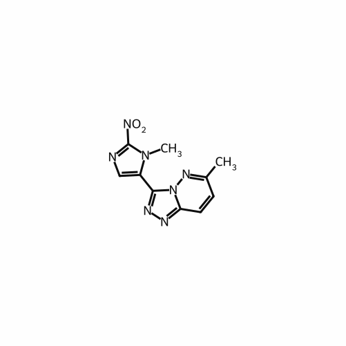 Cc1ccc2nnc(-c3cnc([N+](=O)[O-])n3C)n2n1